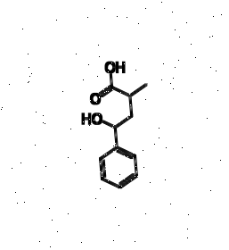 CC(CC(O)c1ccccc1)C(=O)O